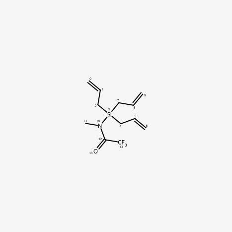 C=CC[Si](CC=C)(CC=C)N(C)C(=O)C(F)(F)F